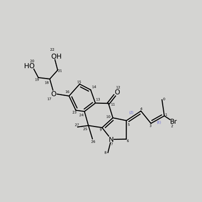 C/C(Br)=C\C=C1/CN(C)C2=C1C(=O)c1ccc(OC(CO)CO)cc1C2(C)C